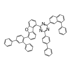 c1ccc(-c2ccc(-c3nc(-c4ccc5cccc(-c6ccccc6)c5c4)nc(-c4cccc5oc6c(-c7ccc(-c8ccccc8)cc7-c7ccccc7)cccc6c45)n3)cc2)cc1